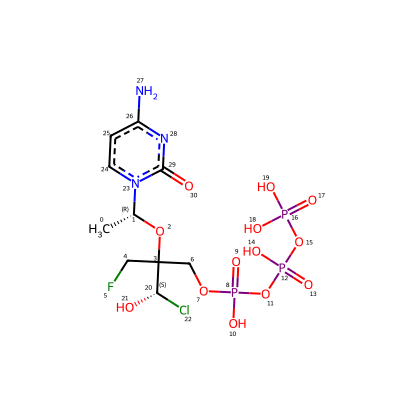 C[C@@H](OC(CF)(COP(=O)(O)OP(=O)(O)OP(=O)(O)O)[C@@H](O)Cl)n1ccc(N)nc1=O